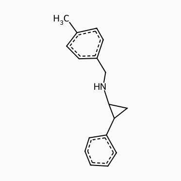 Cc1ccc(CNC2CC2c2ccccc2)cc1